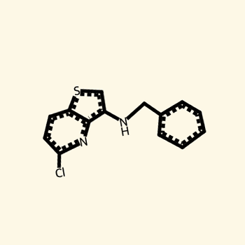 Clc1ccc2scc(NCc3ccccc3)c2n1